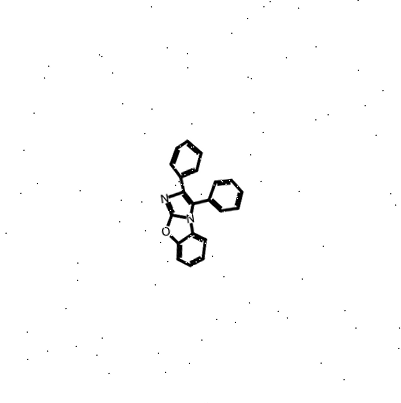 c1ccc(-c2nc3oc4ccccc4n3c2-c2ccccc2)cc1